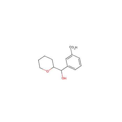 O=C(O)c1cccc(C(O)C2CCCCO2)c1